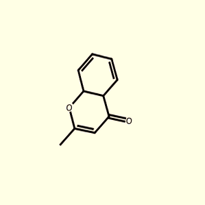 CC1=CC(=O)C2C=CC=CC2O1